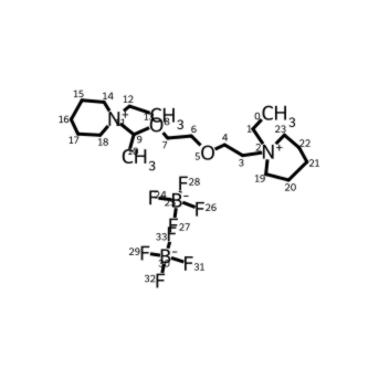 CC[N+]1(CCOCCOC(C)[N+]2(CC)CCCCC2)CCCCC1.F[B-](F)(F)F.F[B-](F)(F)F